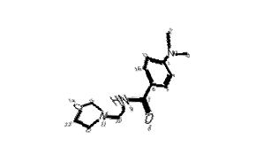 CN(C)c1ccc(C(=O)NCN2CCOC2)cc1